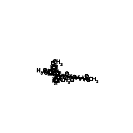 COC(=O)CCCCCOC(=O)CCC(=O)OCc1c2c(c3ccccc3c1C)OC(c1ccc(OC)cc1)(c1ccc(OC)cc1)C=C2